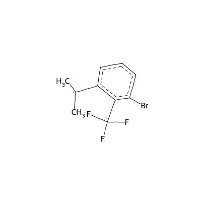 C[C](C)c1cccc(Br)c1C(F)(F)F